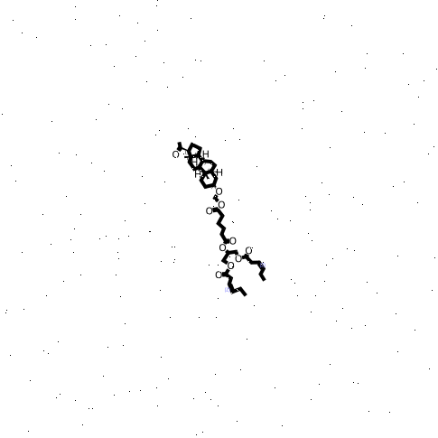 CC/C=C\CC(=O)OCC(COC(=O)C/C=C\CC)OC(=O)CCCCC(=O)OCO[C@@H]1CC[C@@]2(C)[C@@H](CC[C@@H]3[C@@H]2CC[C@]2(C)[C@@H](C(C)=O)CC[C@@H]32)C1